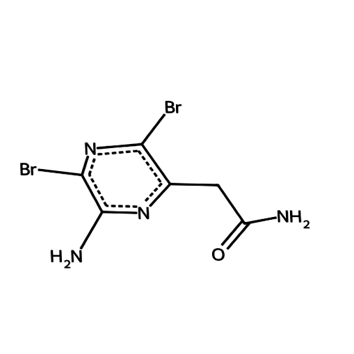 NC(=O)Cc1nc(N)c(Br)nc1Br